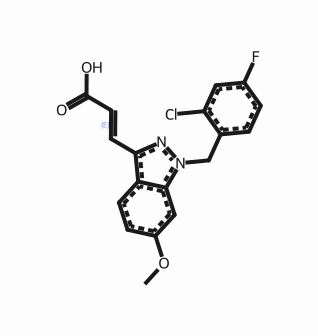 COc1ccc2c(/C=C/C(=O)O)nn(Cc3ccc(F)cc3Cl)c2c1